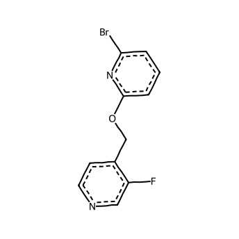 Fc1cnccc1COc1cccc(Br)n1